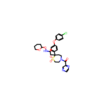 O=C(CC1(c2ccc(Oc3ccc(Cl)cc3)cc2)CCN(C(=O)c2cnccn2)CCS1(=O)=O)NOC1CCCCO1